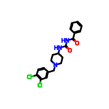 O=C(NC(=O)c1ccccc1)NC1CCN(Cc2ccc(Cl)c(Cl)c2)CC1